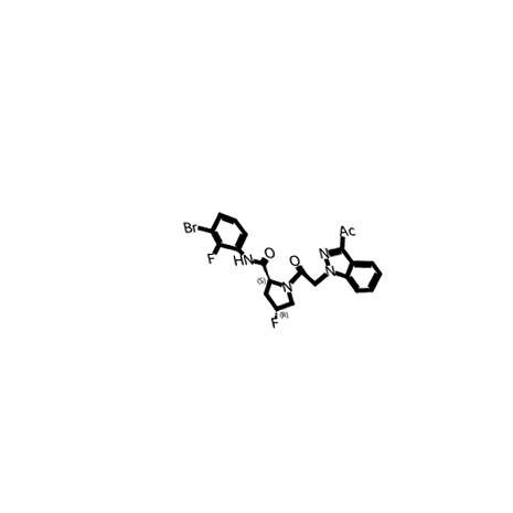 CC(=O)c1nn(CC(=O)N2C[C@H](F)C[C@H]2C(=O)Nc2cccc(Br)c2F)c2ccccc12